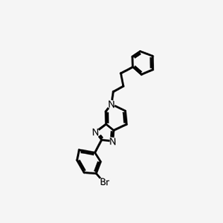 Brc1cccc(-c2nc3ccn(CCCc4ccccc4)cc-3n2)c1